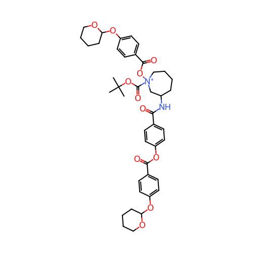 CC(C)(C)OC(=O)[N+]1(OC(=O)c2ccc(OC3CCCCO3)cc2)CCCCC(NC(=O)c2ccc(OC(=O)c3ccc(OC4CCCCO4)cc3)cc2)C1